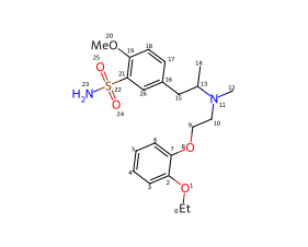 CCOc1ccccc1OCCN(C)C(C)Cc1ccc(OC)c(S(N)(=O)=O)c1